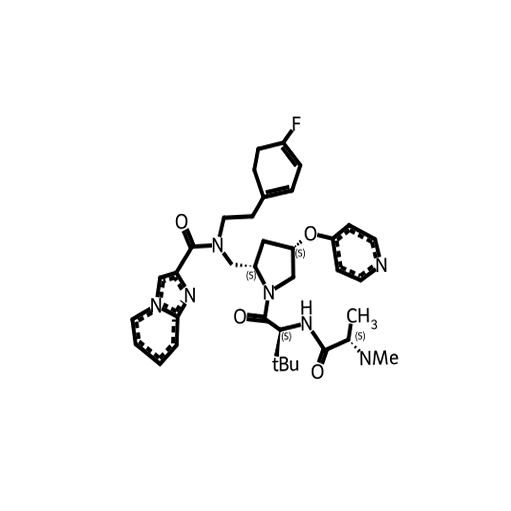 CN[C@@H](C)C(=O)N[C@H](C(=O)N1C[C@@H](Oc2ccncc2)C[C@H]1CN(CCC1=CC=C(F)CC1)C(=O)c1cn2ccccc2n1)C(C)(C)C